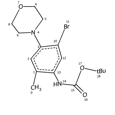 Cc1cc(N2CCOCC2)c(Br)cc1NC(=O)OC(C)(C)C